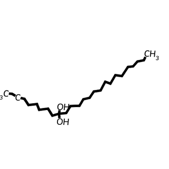 CCCCCCCCCCCCCCCCC(O)(O)CCCCCCCCC